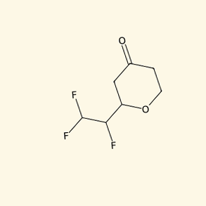 O=C1CCOC(C(F)C(F)F)C1